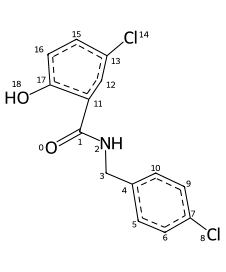 O=C(NCc1ccc(Cl)cc1)c1cc(Cl)ccc1O